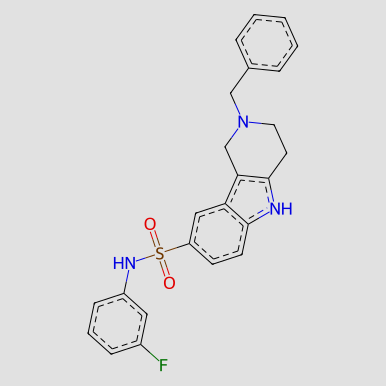 O=S(=O)(Nc1cccc(F)c1)c1ccc2[nH]c3c(c2c1)CN(Cc1ccccc1)CC3